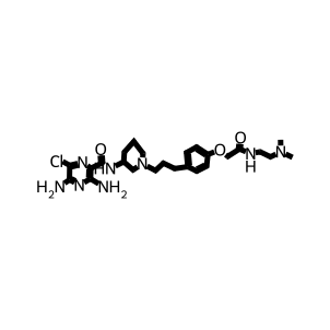 CN(C)CCNC(=O)COc1ccc(CCCN2CCCC(NC(=O)c3nc(Cl)c(N)nc3N)C2)cc1